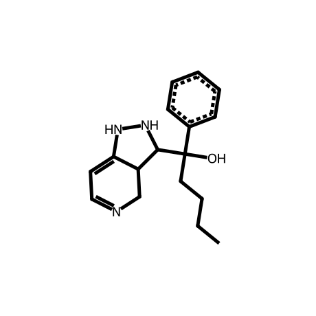 CCCCC(O)(c1ccccc1)C1NNC2=CC=NCC21